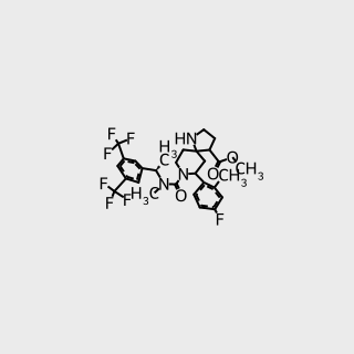 COC(=O)C1CCNC12CCN(C(=O)N(C)[C@H](C)c1cc(C(F)(F)F)cc(C(F)(F)F)c1)C(c1ccc(F)cc1C)C2